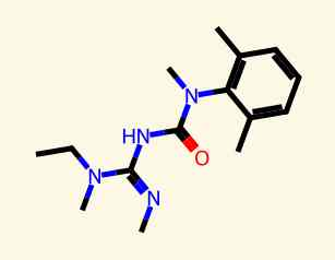 CCN(C)C(=NC)NC(=O)N(C)c1c(C)cccc1C